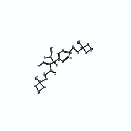 C=CC(C)C(C)(/C(=C/C)[C@@H](C)OCC1(CC)COC1)c1ccc(OCC2(CC)COC2)cc1